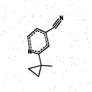 CC1(c2cc(C#N)ccn2)CC1